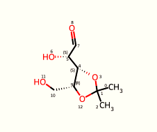 CC1(C)O[C@@H]([C@H](O)C=O)[C@@H](CO)O1